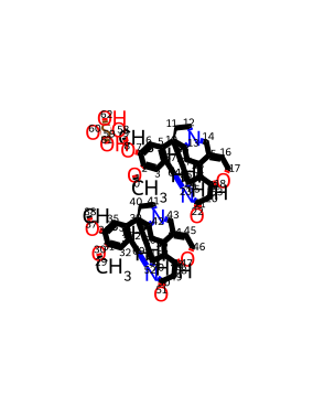 COc1cc2c(cc1OC)[C@@]13CCN4CC5=CCO[C@H]6CC(=O)N2[C@H]1[C@H]6[C@H]5C[C@H]43.COc1cc2c(cc1OC)[C@@]13CCN4CC5=CCO[C@H]6CC(=O)N2[C@H]1[C@H]6[C@H]5C[C@H]43.O=S(=O)(O)O